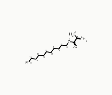 C=C(C)C(=O)OCCCCCCCCCCC(C)C